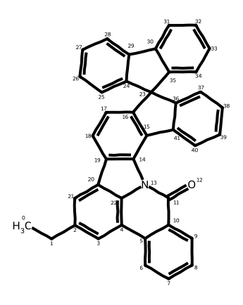 CCc1cc2c3ccccc3c(=O)n3c4c5c(ccc4c(c1)c23)C1(c2ccccc2-c2ccccc21)c1ccccc1-5